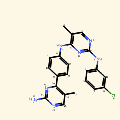 Cc1cnc(Nc2cccc(Cl)c2)nc1Nc1ccc(-c2nc(N)ncc2C)cc1